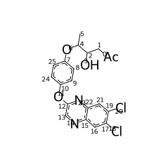 CC(=O)CC(O)C(C)Oc1ccc(Oc2cnc3cc(Cl)c(Cl)cc3n2)cc1